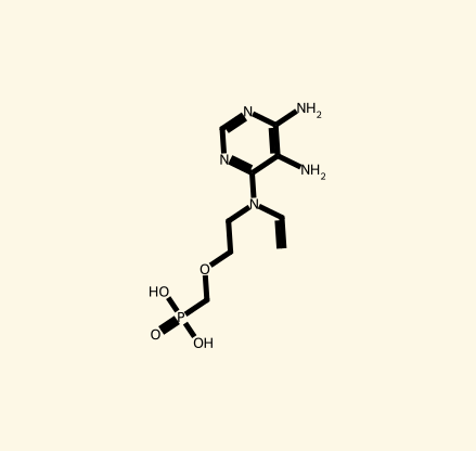 C=CN(CCOCP(=O)(O)O)c1ncnc(N)c1N